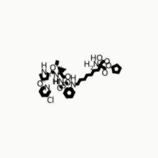 C=C[C@@H]1C[C@]1(NC(=O)[C@@H]1C[C@@H](Oc2ccc(Cl)cn2)CN1)C(=O)NS(=O)(=O)c1ccccc1NCCCCCCCC(N)(C(=O)O)C(=O)OC1CCCC1